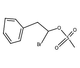 CS(=O)(=O)OC(Br)Cc1ccccc1